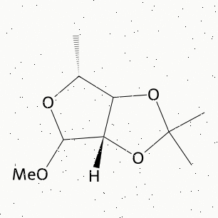 COC1O[C@H](C)C2OC(C)(C)O[C@H]12